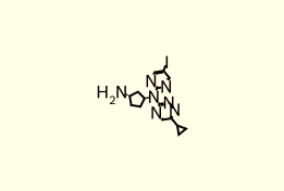 N[C@H]1CC[C@H](N(c2ncc(I)cn2)c2ncc(C3CC3)nn2)C1